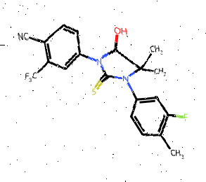 Cc1ccc(N2C(=S)N(c3ccc(C#N)c(C(F)(F)F)c3)C(O)C2(C)C)cc1F